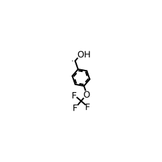 O[CH]c1ccc(OC(F)(F)F)cc1